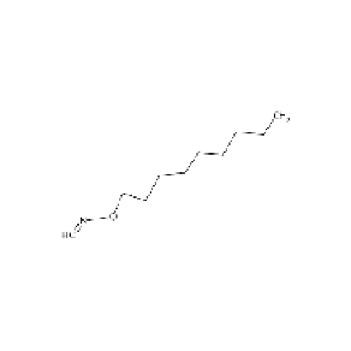 [CH]=NOCCCCCCCCC